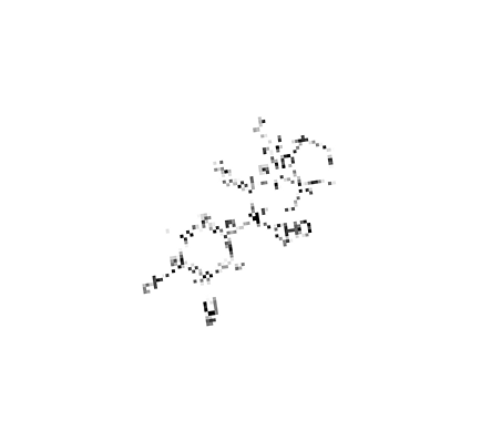 C[C@@H]1C2CCC(C)(O2)[C@@H]1C(=O)N(C=O)c1ccc(F)c(Cl)c1